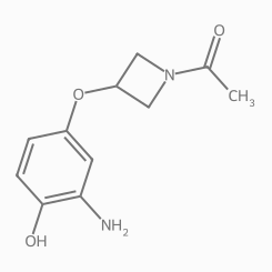 CC(=O)N1CC(Oc2ccc(O)c(N)c2)C1